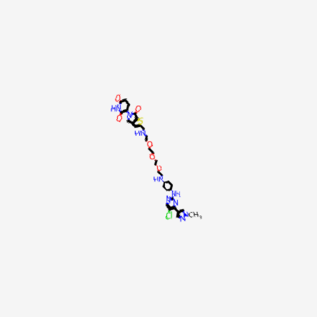 Cn1cc(-c2nc(N[C@H]3CC[C@H](NCCOCCOCCOCCNCc4cc5c(s4)C(=O)N(C4CCC(=O)NC4=O)C5)CC3)ncc2Cl)cn1